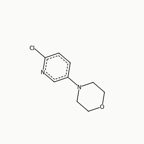 Clc1ccc(N2CCOCC2)cn1